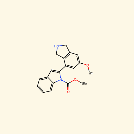 CC(C)Oc1cc2c(c(-c3cc4ccccc4n3C(=O)OC(C)(C)C)c1)CNC2